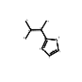 C[C](C)C(C)c1cccs1